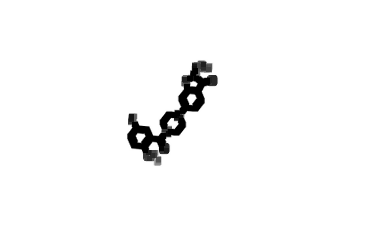 CCCCn1sc2cc(N3CCN(C(=O)c4cc(F)ccc4C(F)(F)F)CC3)ccc2c1=O